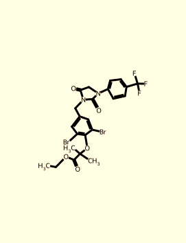 CCOC(=O)C(C)(C)Oc1c(Br)cc(CN2C(=O)CN(c3ccc(C(F)(F)F)cc3)C2=O)cc1Br